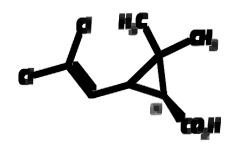 CC1(C)C(C=C(Cl)Cl)[C@@H]1C(=O)O